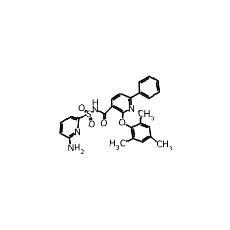 Cc1cc(C)c(Oc2nc(-c3ccccc3)ccc2C(=O)NS(=O)(=O)c2cccc(N)n2)c(C)c1